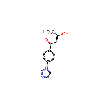 O=C(O)/C(O)=C\C(=O)c1ccc(-n2ccnc2)cc1